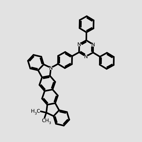 CC1(C)c2ccccc2-c2cc3cc4c(cc3cc21)c1ccccc1n4-c1ccc(-c2nc(-c3ccccc3)nc(-c3ccccc3)n2)cc1